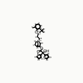 Cc1cccc(C(C)(C)C)c1OCCC[N+]12CCC(CC1)C(OC(=O)C(O)(c1cccs1)c1cccs1)C2